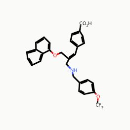 O=C(O)c1ccc(/C=C(/CNCc2ccc(OC(F)(F)F)cc2)COc2cccc3ccccc23)cc1